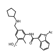 CC(=O)n1cc(C(=O)Nc2cc(CNC3CCCC3)cc(C(=O)O)c2C)c2ccccc21